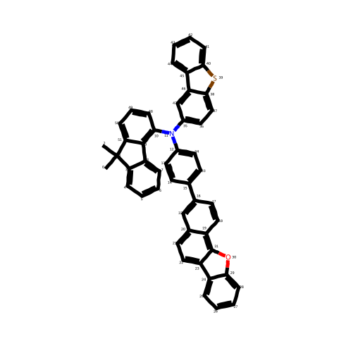 CC1(C)c2ccccc2-c2c(N(c3ccc(-c4ccc5c(ccc6c7ccccc7oc56)c4)cc3)c3ccc4sc5ccccc5c4c3)cccc21